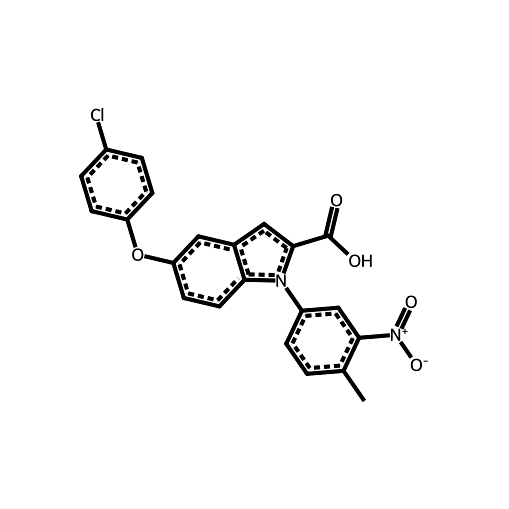 Cc1ccc(-n2c(C(=O)O)cc3cc(Oc4ccc(Cl)cc4)ccc32)cc1[N+](=O)[O-]